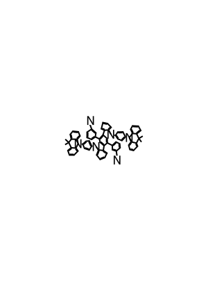 CC1(C)c2ccccc2N(c2ccc(-n3c4ccccc4c4c(-c5cccc(C#N)c5)c5c(c(-c6cccc(C#N)c6)c43)c3ccccc3n5-c3ccc(N4c5ccccc5C(C)(C)c5ccccc54)cc3)cc2)c2ccccc21